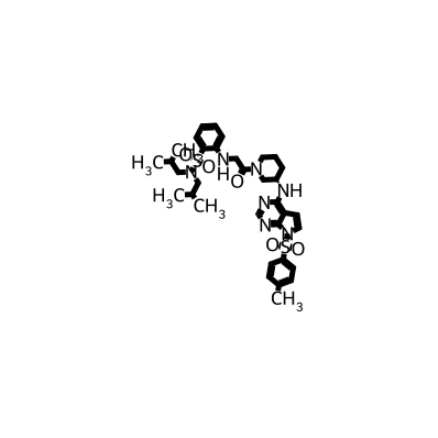 Cc1ccc(S(=O)(=O)n2ccc3c(N[C@H]4CCCN(C(=O)CNc5ccccc5S(=O)(=O)N(CC(C)C)CC(C)C)C4)ncnc32)cc1